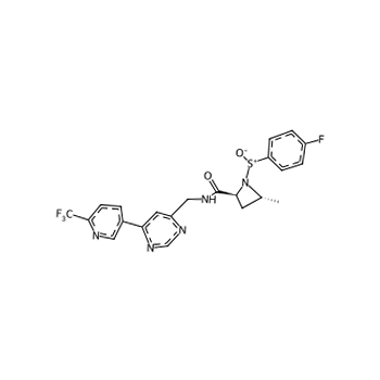 C[C@@H]1C[C@@H](C(=O)NCc2cc(-c3ccc(C(F)(F)F)nc3)ncn2)N1[S+]([O-])c1ccc(F)cc1